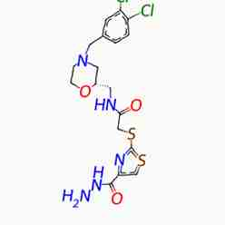 NNC(=O)c1csc(SCC(=O)NC[C@H]2CN(Cc3ccc(Cl)c(Cl)c3)CCO2)n1